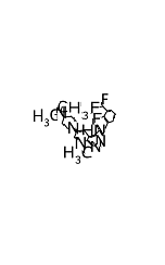 Cc1nnc(NCc2cccc(C(F)F)c2F)c2cc(N3CCC(N(C)C)CC3)cnc12